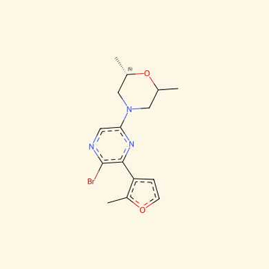 Cc1occc1-c1nc(N2CC(C)O[C@@H](C)C2)cnc1Br